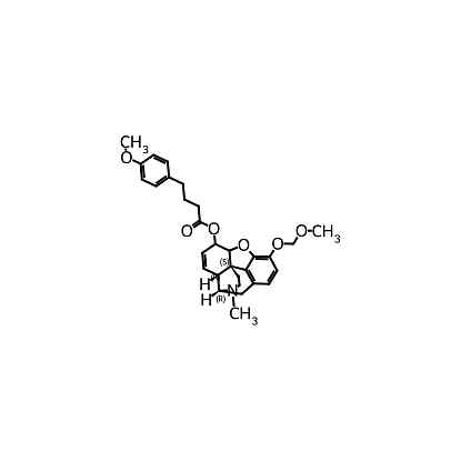 COCOc1ccc2c3c1OC1C(OC(=O)CCCc4ccc(OC)cc4)C=C[C@H]4[C@@H](C2)N(C)CC[C@]314